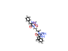 COC(=O)N(CCC[C@@H](C)N1C(=N)N[C@](CC(C)C)(c2ccccc2)C1=O)C(=O)[C@@H](N)Cc1ccccc1